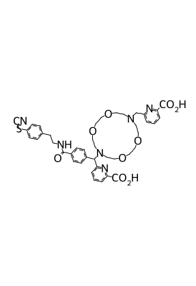 N#CSc1ccc(CCNC(=O)c2ccc(C(c3cccc(C(=O)O)n3)N3CCOCCOCCN(Cc4cccc(C(=O)O)n4)CCOCCOCC3)cc2)cc1